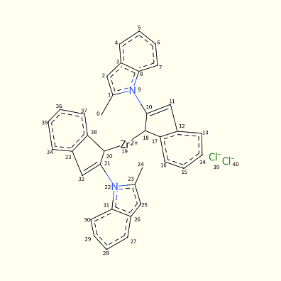 Cc1cc2ccccc2n1C1=Cc2ccccc2[CH]1[Zr+2][CH]1C(n2c(C)cc3ccccc32)=Cc2ccccc21.[Cl-].[Cl-]